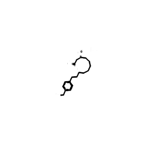 O=COC1CCCCCC(CCc2ccc(CBr)cc2)OC(=O)C1